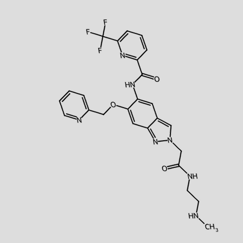 CNCCNC(=O)Cn1cc2cc(NC(=O)c3cccc(C(F)(F)F)n3)c(OCc3ccccn3)cc2n1